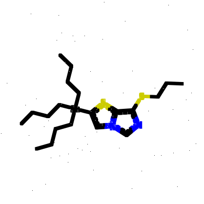 CCC[CH2][Sn]([CH2]CCC)([CH2]CCC)[c]1cn2cnc(SCCC)c2s1